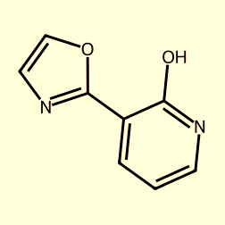 Oc1ncccc1-c1ncco1